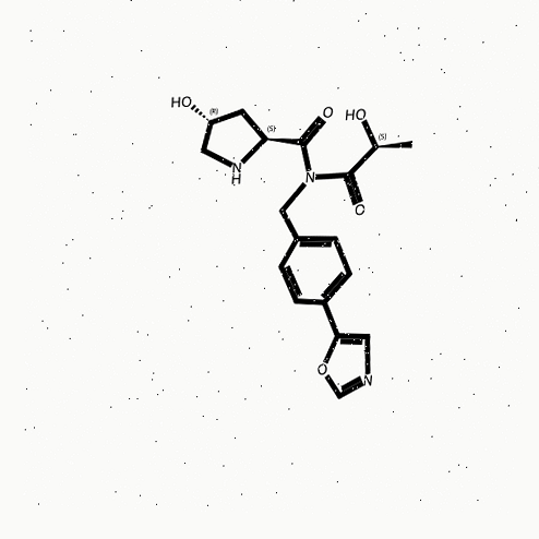 C[C@H](O)C(=O)N(Cc1ccc(-c2cnco2)cc1)C(=O)[C@@H]1C[C@@H](O)CN1